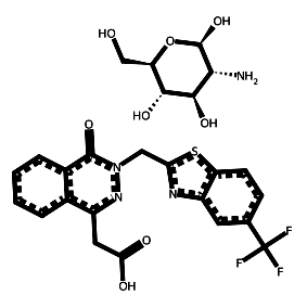 N[C@@H]1[C@@H](O)[C@H](O)[C@@H](CO)O[C@H]1O.O=C(O)Cc1nn(Cc2nc3cc(C(F)(F)F)ccc3s2)c(=O)c2ccccc12